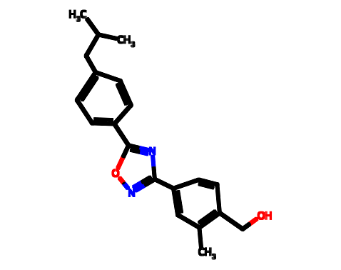 Cc1cc(-c2noc(-c3ccc(CC(C)C)cc3)n2)ccc1CO